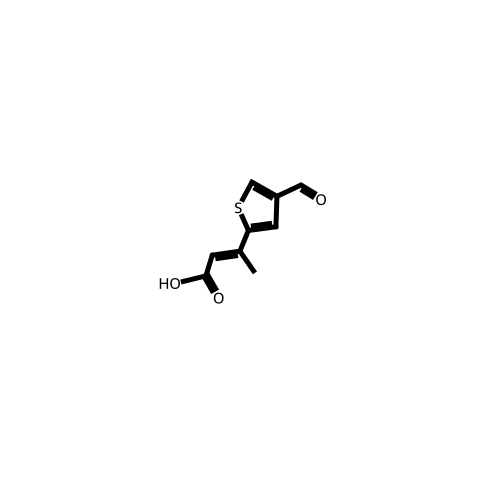 C/C(=C\C(=O)O)c1cc(C=O)cs1